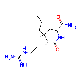 CCCC1(C)C[C@H](C(N)=O)NC(=O)[C@@H]1CCCNC(=N)N